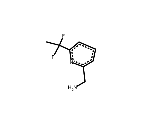 CC(F)(F)c1cccc(CN)n1